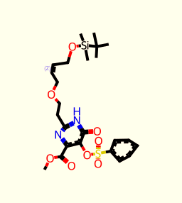 COC(=O)c1nc(CCOC/C=C\CO[Si](C)(C)C(C)(C)C)[nH]c(=O)c1OS(=O)(=O)c1ccccc1